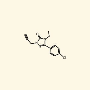 C#CCn1nc(-c2ccc(Cl)cc2)n(CC)c1=O